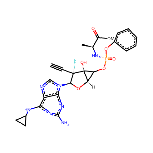 C#C[C@]1(F)[C@H](n2cnc3c(NC4CC4)nc(N)nc32)O[C@@H]2C(O[P@@](=O)(N[C@@H](C)C(=O)OC)Oc3ccccc3)[C@@]21O